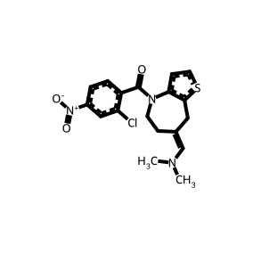 CN(C)C=C1CCN(C(=O)c2ccc([N+](=O)[O-])cc2Cl)c2ccsc2C1